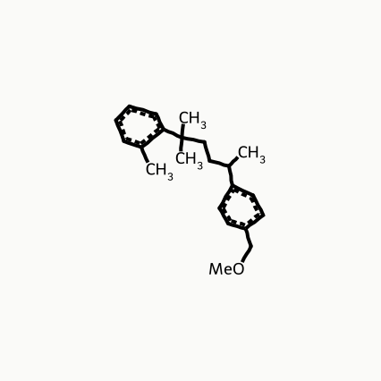 COCc1ccc(C(C)CCC(C)(C)c2ccccc2C)cc1